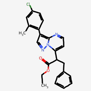 CCOC(=O)C(Cc1ccccc1)c1ccnc2c(-c3ccc(Cl)cc3C)cnn12